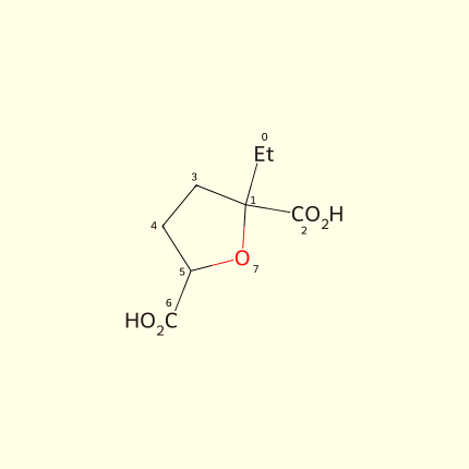 CCC1(C(=O)O)CCC(C(=O)O)O1